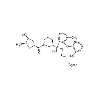 COCCCC[C@@](O)(c1cccc(C)c1Oc1ccccc1C)[C@@H]1CCCN(C(=O)[C@H]2C[C@@H](N)[C@@H](O)C2)C1